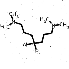 CC[C]([Al])(CCCN(C)C)CCCN(C)C